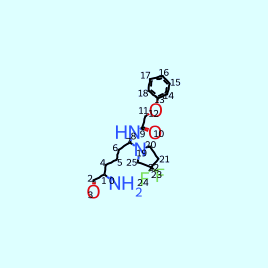 NC(C=O)CCCC(NC(=O)COc1ccccc1)N1CCC(F)(F)C1